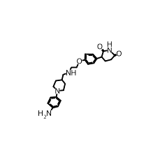 Nc1ccc(N2CCC(CNCCOc3ccc(C4CCC(=O)NC4=O)cc3)CC2)cc1